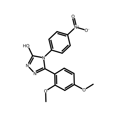 COc1ccc(-c2nnc(O)n2-c2ccc([N+](=O)[O-])cc2)c(OC)c1